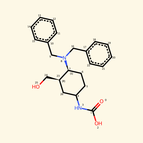 O=C(O)NC1CC[C@H](N(Cc2ccccc2)Cc2ccccc2)[C@H](CO)C1